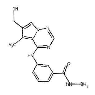 BNC(=O)c1cccc(Nc2ncnn3cc(CO)c(C)c23)c1